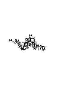 CN1CCN(c2nccc3[nH]c(-c4n[nH]c5cnc(-c6cncc(CNCc7ccccc7)c6)cc45)cc23)CC1